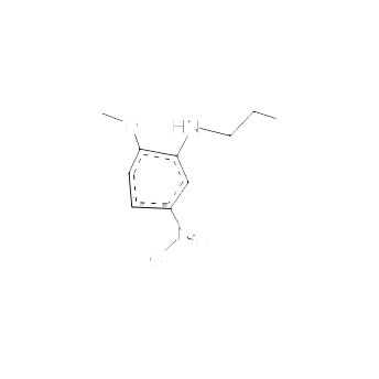 CCCNc1cc([N+](=O)[O-])ccc1OC